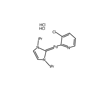 CC(C)n1ccn(C(C)C)[c]1=[Pd][c]1ncccc1Cl.Cl.Cl